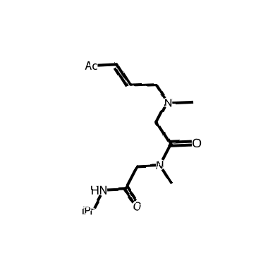 CC(=O)/C=C/CN(C)CC(=O)N(C)CC(=O)NC(C)C